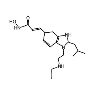 CCNCCN1C2=C(CC(/C=C/C(=O)NO)C=C2)NC1CC(C)C